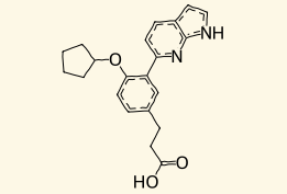 O=C(O)CCc1ccc(OC2CCCC2)c(-c2ccc3cc[nH]c3n2)c1